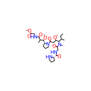 CCC(C)C(C(CC(=O)N1CCC[C@H]1C(OC)C(C)C(=O)NCC(=O)OC)OC)N(C)C(=O)CNC(=O)[C@@H]1CCCN1